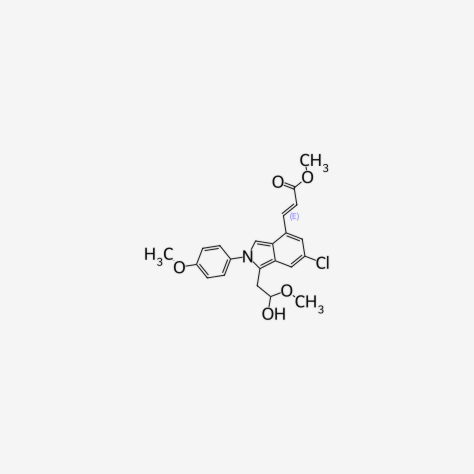 COC(=O)/C=C/c1cc(Cl)cc2c(CC(O)OC)n(-c3ccc(OC)cc3)cc12